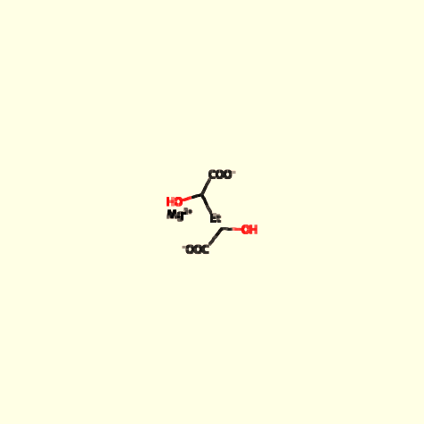 CCC(O)C(=O)[O-].O=C([O-])CO.[Mg+2]